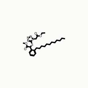 CCCCCCCCCCCCc1ccccc1C(Sc1nnnn1CC(=O)OCC)C(=O)OC